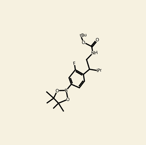 CC(C)C(CNC(=O)OC(C)(C)C)c1ccc(B2OC(C)(C)C(C)(C)O2)cc1F